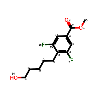 COC(=O)c1cc(F)c(CCCCCO)c(F)c1